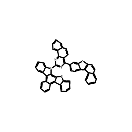 c1ccc2c(c1)ccc1c(-c3ccc4c(c3)sc3ccc5ccccc5c34)nc(-n3c4ccccc4c4c5ccccc5c5c6ccccc6sc5c43)nc12